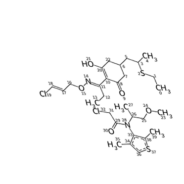 CCSC(C)CC1CC(=O)C(/C(CC)=N/OC/C=C/Cl)=C(O)C1.COCC(C)N(C(=O)CCl)c1c(C)csc1C